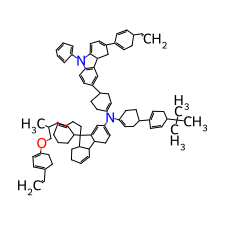 C=CC1=CC=C(OCC(C)CCCCC2(C3C=CCCC3)C3=CC(N(C4=CCC(C5=CCC(C(C)(C)C)C=C5)CC4)C4=CCC(c5ccc6c(c5)C5CC(C7=CCC(C=C)C=C7)=CC=C5N6c5ccccc5)CC4)=CCC3C3C=CCCC32)CC1